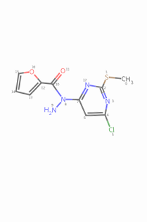 CSc1nc(Cl)cc(N(N)C(=O)c2ccco2)n1